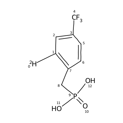 [2H]c1cc(C(F)(F)F)ccc1CP(=O)(O)O